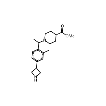 COC(=O)C1CCN(C(C)c2ccc(C3CNC3)cc2C)CC1